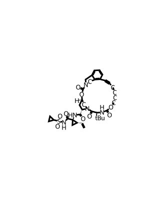 C=C[C@@H]1C[C@]1(NC(=O)[C@@H]1C[C@@H]2CN1C(=O)[C@H](C(C)(C)C)NC(=O)OCCCCC#Cc1cccc3c1CN(C3)C(=O)O2)C(=O)NS(=O)(=O)C1CC1